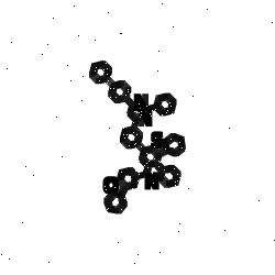 c1ccc(-c2ccc(-c3cc(-c4cccc(-c5cc6c(-c7ccc8oc9ccccc9c8c7)nc7ccccc7c6c6c5sc5ccccc56)c4)nc(-c4ccccc4)n3)cc2)cc1